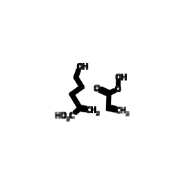 C=C(CCCO)C(=O)O.C=CC(=O)OO